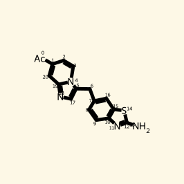 CC(=O)c1ccn2c(Cc3ccc4nc(N)sc4c3)cnc2c1